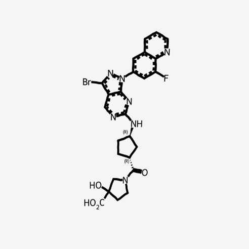 O=C([C@@H]1CC[C@@H](Nc2ncc3c(Br)nn(-c4cc(F)c5ncccc5c4)c3n2)C1)N1CCC(O)(C(=O)O)C1